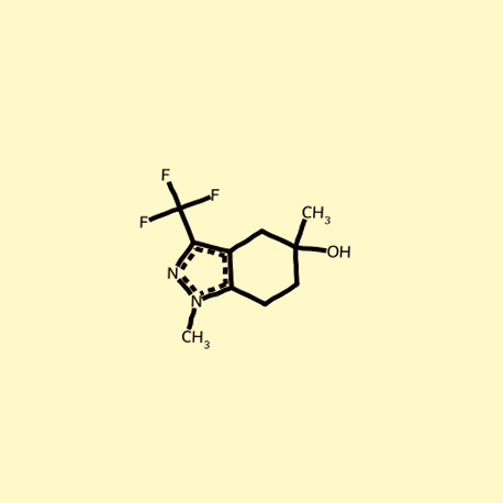 Cn1nc(C(F)(F)F)c2c1CCC(C)(O)C2